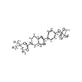 CC(C)(C)OC(=O)N1CCc2nc(-c3ccc(OS(=O)(=O)C(F)(F)F)cc3)ncc2C1